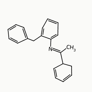 C/C(=N\c1ccccc1Cc1ccccc1)C1C=CC=CC1